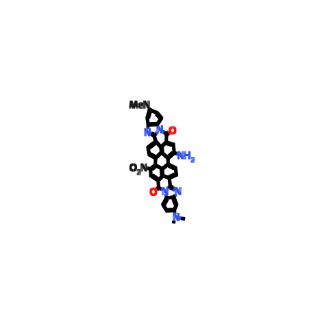 CNc1ccc2c(c1)nc1c3ccc4c5c([N+](=O)[O-])cc6c(=O)n7c8ccc(N(C)C)cc8nc7c7ccc(c8c(N)cc(c(=O)n21)c3c48)c5c67